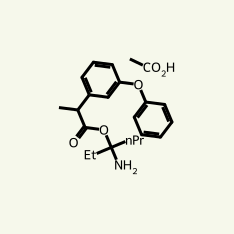 CC(=O)O.CCCC(N)(CC)OC(=O)C(C)c1cccc(Oc2ccccc2)c1